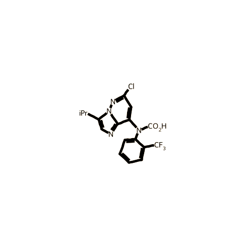 CC(C)c1cnc2c(N(C(=O)O)c3ccccc3C(F)(F)F)cc(Cl)nn12